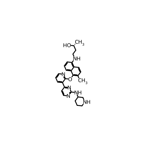 Cc1ccc2c(NCC[C@@H](C)O)cccc2c1Oc1ncccc1-c1ccnc(NC2CCCNC2)n1